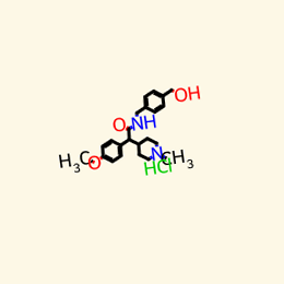 COc1ccc(C(C(=O)NCc2ccc(CO)cc2)C2CCN(C)CC2)cc1.Cl